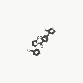 O=C(O)[C@@H]1CC[C@H](c2ccccc2Cl)N1C(=O)c1ccc(-c2ccncc2F)cc1